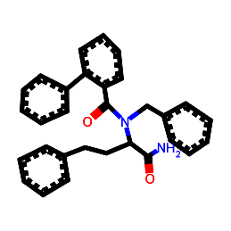 NC(=O)C(CCc1ccccc1)N(Cc1ccccc1)C(=O)c1ccccc1-c1ccccc1